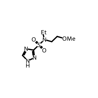 CCN(CCOC)S(=O)(=O)c1nc[nH]n1